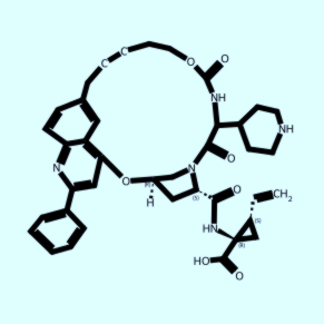 C=C[C@@H]1C[C@]1(NC(=O)[C@@H]1C[C@@H]2CN1C(=O)C(C1CCNCC1)NC(=O)OCCCCCc1ccc3nc(-c4ccccc4)cc(c3c1)O2)C(=O)O